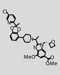 COC(=O)c1cc(OC)c2nc(C(C)N3CCC(c4cccc5c4OC(C)(c4ccc(Cl)cn4)O5)CC3)n(C[C@H]3CCO3)c2c1